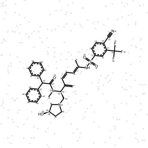 C=C(/C=C\C=C(/C)NS(=O)(=O)c1ccc(C#N)c(C(F)(F)F)c1)[C@@H](CN1CC[C@@H](O)C1)N(C)C(=O)C(c1ccccc1)c1ccccc1